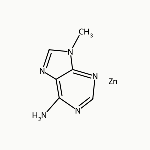 Cn1cnc2c(N)ncnc21.[Zn]